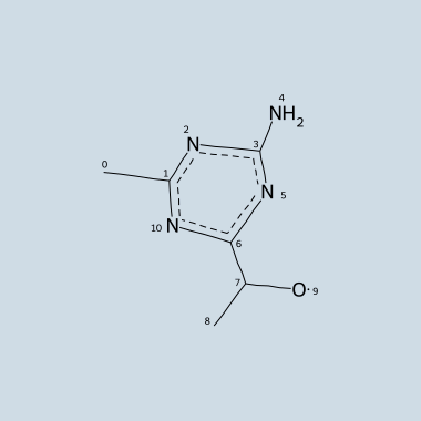 Cc1nc(N)nc(C(C)[O])n1